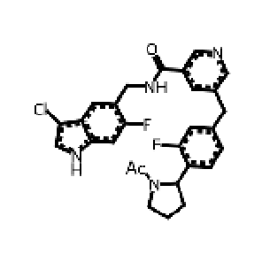 CC(=O)N1CCCC1c1ccc(Cc2cncc(C(=O)NCc3cc4c(Cl)c[nH]c4cc3F)c2)cc1F